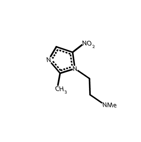 CNCCn1c([N+](=O)[O-])cnc1C